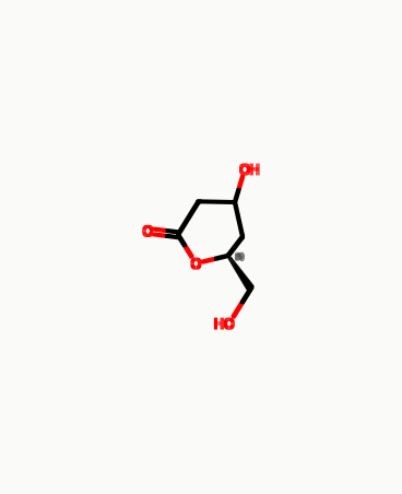 O=C1CC(O)C[C@@H](CO)O1